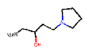 CNCC(O)CCN1CCCC1